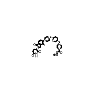 CC(C)(C)OC(=O)N1CCN(C[C@@H]2CC[C@@H](CN3CCN(c4ccc5c(c4F)CN(C4CCC(=O)NC4=O)C5=O)CC3)OC2)CC1